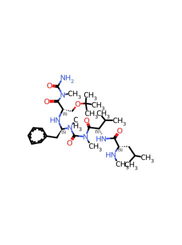 CN[C@@H](CC(C)C)C(=O)N[C@H](C(=O)N(C)C(=O)N(C)[C@@H](Cc1ccccc1)N[C@@H](COC(C)(C)C)C(=O)N(C)C(N)=O)C(C)C